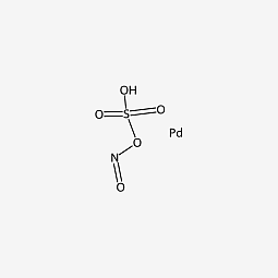 O=NOS(=O)(=O)O.[Pd]